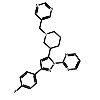 Fc1ccc(-c2cc(C3CCCN(Cc4cncnc4)C3)n(-c3ncccn3)n2)cc1